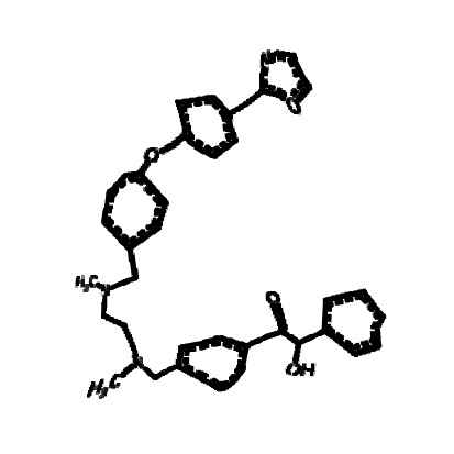 CN(CCN(C)Cc1ccc(C(=O)C(O)c2ccccc2)cc1)Cc1ccc(Oc2ccc(-c3ncco3)cc2)cc1